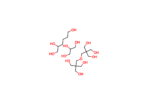 OCC(CO)(CO)COCC(CO)(CO)CO.OCC(O)CO.OCCCCC(O)CO